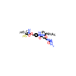 CC(=O)N[C@H](C(=O)N[C@@H](CCCNC(N)=O)C(=O)Nc1ccc(COC(=O)N[C@H](C(=O)O)C(C)(C)S)cc1)C(C)C